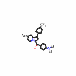 CCN(CC)c1ccc(C(=O)c2cc(-c3ccc(C(F)(F)F)cc3)c3cc(C(C)=O)ccn23)cc1